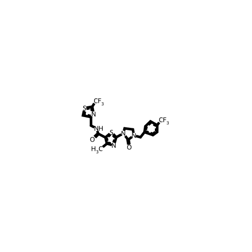 Cc1nc(N2CCN(Cc3ccc(C(F)(F)F)cc3)C2=O)sc1C(=O)NCc1csc(C(F)(F)F)n1